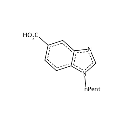 CCCCCn1cnc2cc(C(=O)O)ccc21